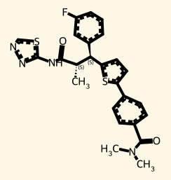 C[C@H](C(=O)Nc1nncs1)[C@@H](c1cccc(F)c1)c1ccc(-c2ccc(C(=O)N(C)C)cc2)s1